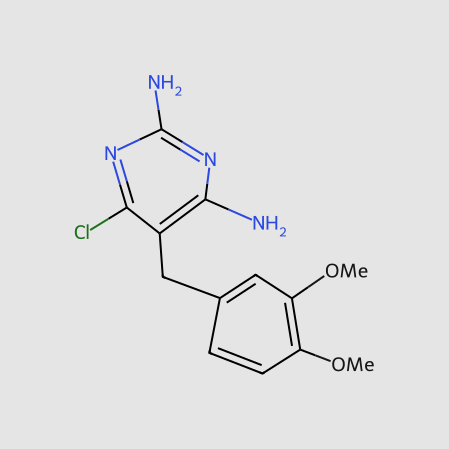 COc1ccc(Cc2c(N)nc(N)nc2Cl)cc1OC